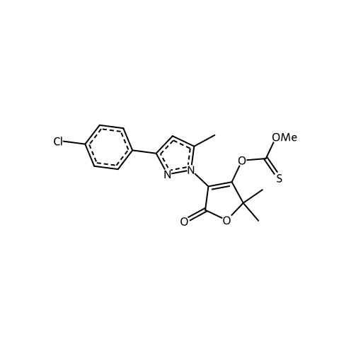 COC(=S)OC1=C(n2nc(-c3ccc(Cl)cc3)cc2C)C(=O)OC1(C)C